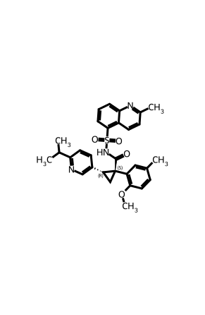 COc1ccc(C)cc1[C@]1(C(=O)NS(=O)(=O)c2cccc3nc(C)ccc23)C[C@@H]1c1ccc(C(C)C)nc1